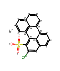 O=S(=O)([O-])c1c(Cl)cc2cccc3c4cccc5cccc(c1c23)c54.[Li+]